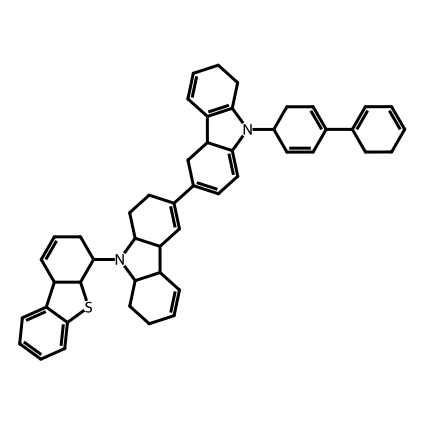 C1=CCCC(C2=CCC(N3C4=CC=C(C5=CC6C7C=CCCC7N(C7CC=CC8c9ccccc9SC87)C6CC5)CC4C4=C3CCC=C4)C=C2)=C1